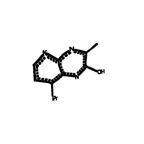 Cc1nc2nccc(C(C)C)c2nc1O